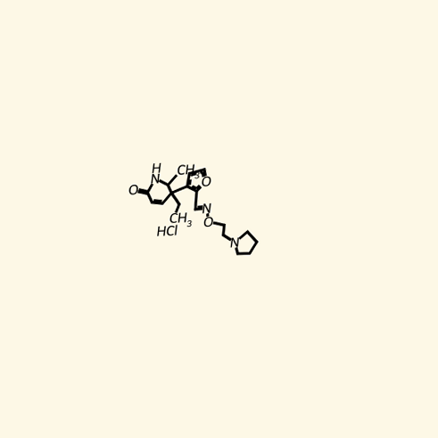 CCC1(c2ccoc2C=NOCCN2CCCC2)C=CC(=O)NC1C.Cl